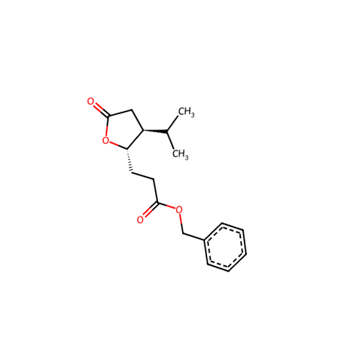 CC(C)[C@@H]1CC(=O)O[C@H]1CCC(=O)OCc1ccccc1